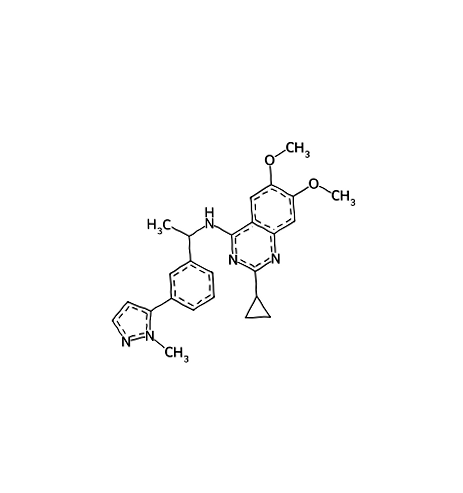 COc1cc2nc(C3CC3)nc(NC(C)c3cccc(-c4ccnn4C)c3)c2cc1OC